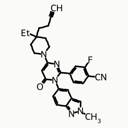 C#CCCC1(CC)CCN(c2cc(=O)n(-c3ccc4nn(C)cc4c3)c(-c3ccc(C#N)c(F)c3)n2)CC1